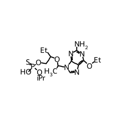 CCOc1nc(N)nc2c1ncn2C(C)OC(CC)COP(O)(=S)OC(C)C